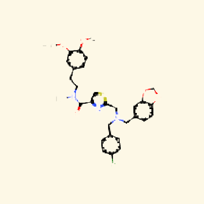 COc1ccc(CCN(C)C(=O)c2csc(CN(Cc3ccc(Cl)cc3)Cc3ccc4c(c3)OCO4)n2)cc1OC